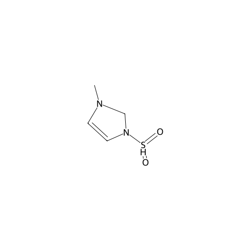 CN1C=CN([SH](=O)=O)C1